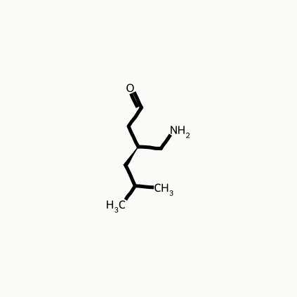 CC(C)C[C@H](CN)CC=O